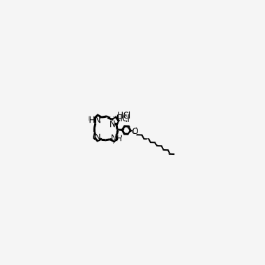 CCCCCCCCCCCCOc1ccc(-c2c3nc(cc4ccc(cc5nc(cc6ccc2[nH]6)C=C5)[nH]4)C=C3)cc1.Cl.Cl